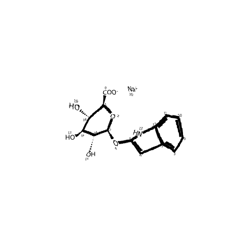 O=C([O-])[C@H]1O[C@@H](Oc2cc3ccccc3[nH]2)[C@H](O)[C@@H](O)[C@@H]1O.[Na+]